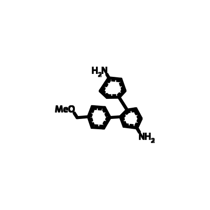 COCc1ccc(-c2cc(N)ccc2-c2ccc(N)cc2)cc1